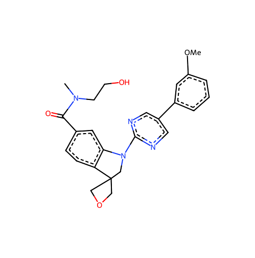 COc1cccc(-c2cnc(N3CC4(COC4)c4ccc(C(=O)N(C)CCO)cc43)nc2)c1